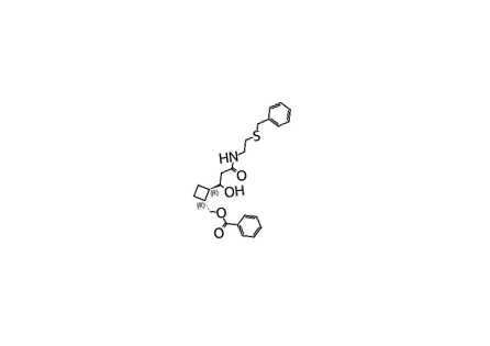 O=C(CC(O)[C@@H]1CC[C@H]1COC(=O)c1ccccc1)NCCSCc1ccccc1